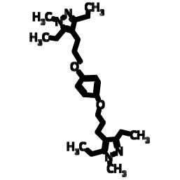 CCc1nn(C)c(CC)c1CCCOc1ccc(OCCCc2c(CC)nn(C)c2CC)cc1